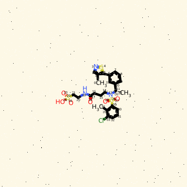 Cc1cnsc1-c1cccc([C@H](C)N(CCCC(=O)NCCS(=O)(=O)O)S(=O)(=O)c2cccc(Cl)c2C)c1